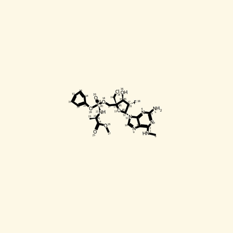 CNc1nc(N)nc2c1ncn2[C@@H]1O[C@](CCl)(CO[P@](=O)(N[C@H](C)C(=O)OC)Oc2ccccc2)[C@@H](O)[C@@H]1F